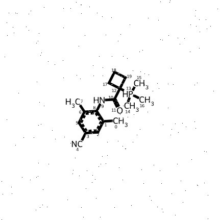 Cc1cc(C#N)cc(C)c1NC(=O)C1([PH](C)(C)C)CCC1